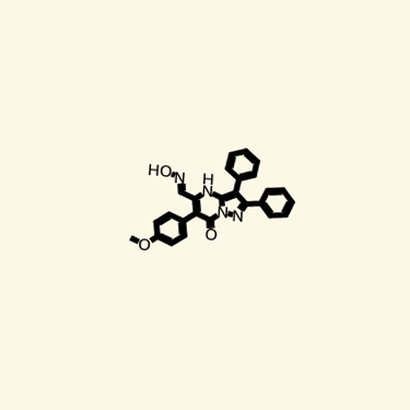 COc1ccc(-c2c(/C=N/O)[nH]c3c(-c4ccccc4)c(-c4ccccc4)nn3c2=O)cc1